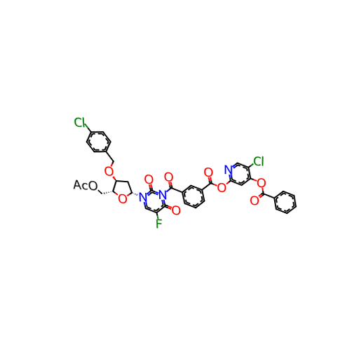 CC(=O)OC[C@H]1O[C@@H](n2cc(F)c(=O)n(C(=O)c3cccc(C(=O)Oc4cc(OC(=O)c5ccccc5)c(Cl)cn4)c3)c2=O)C[C@@H]1OCc1ccc(Cl)cc1